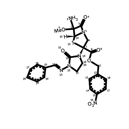 COC1(N)C(=O)N2C[C@@](C(=O)OCc3ccc([N+](=O)[O-])cc3)(N3CCN(N=Cc4ccccc4)C3=O)S[C@@H]21